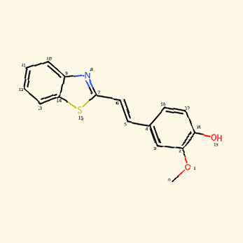 COc1cc(C=Cc2nc3ccccc3s2)ccc1O